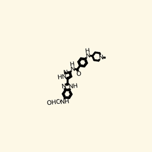 CN1CCC(Nc2ccc(C(=O)Nc3cc(-c4nc5cc(NC=O)ccc5[nH]4)[nH]n3)cc2)CC1